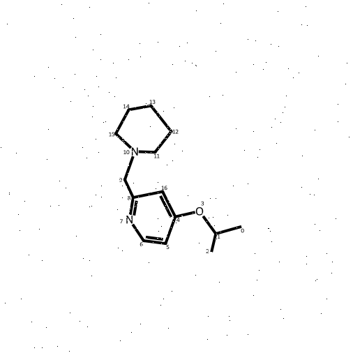 CC(C)Oc1ccnc(CN2CCCCC2)c1